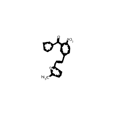 Cc1ccc(C=Cc2ccc([N+](=O)[O-])c(C(=O)c3ccccc3)c2)o1